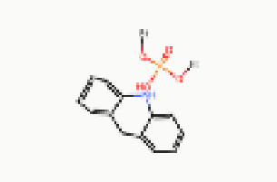 CCOP(=O)(O)OCC.c1ccc2c(c1)Cc1ccccc1N2